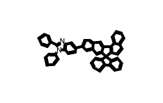 c1ccc(-c2nc3cc(-c4ccc5cc6c(cc5c4)C4(c5ccccc5-c5ccccc54)c4ccc5ccccc5c4-6)ccc3n2-c2ccccc2)cc1